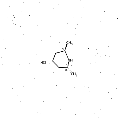 C[C@@H]1CCC[C@@H](C)N1.Cl